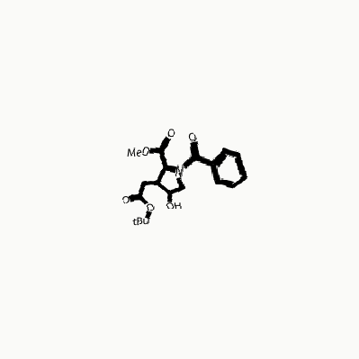 COC(=O)C1C(CC(=O)OC(C)(C)C)C(O)CN1C(=O)c1ccccc1